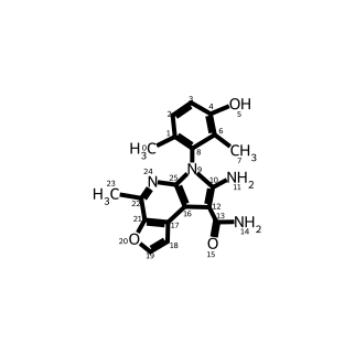 Cc1ccc(O)c(C)c1-n1c(N)c(C(N)=O)c2c3ccoc3c(C)nc21